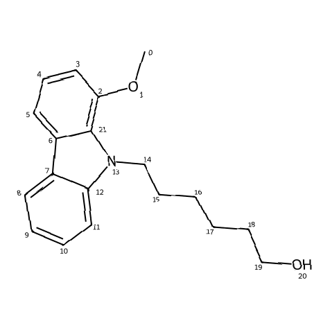 COc1cccc2c3ccccc3n(CCCCCCO)c12